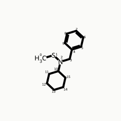 CSN(Cc1ccccc1)C1CCCCC1